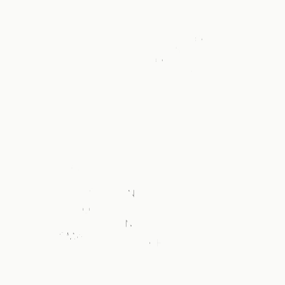 CSCOC(=O)Cn1nc(C(F)(F)F)cc1C1=CC=C(c2cccc(S(C)(=O)=O)c2)CC1